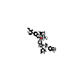 CCc1nccc(-c2ccc3c(c2)cc(C(=O)N2CCc4nn(-c5cc(C)nc(C)c5)c(-n5ccn(-c6ccc7c(cnn7C)c6)c5=O)c4C2)n3[C@@]2(c3noc(=O)[nH]3)C[C@@H]2C)c1C